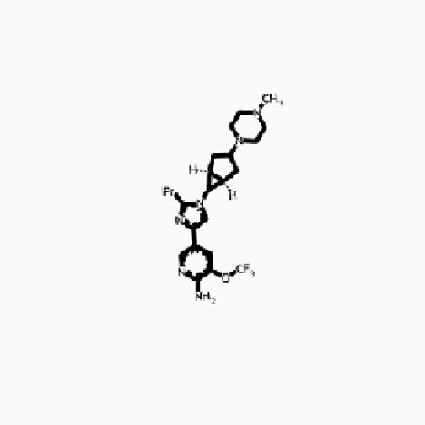 CC(C)c1nc(-c2cnc(N)c(OC(F)(F)F)c2)cn1C1[C@H]2CC(N3CCN(C)CC3)C[C@@H]12